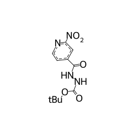 CC(C)(C)OC(=O)NNC(=O)c1ccnc([N+](=O)[O-])c1